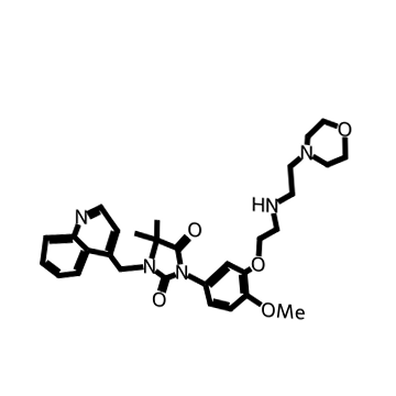 COc1ccc(N2C(=O)N(Cc3ccnc4ccccc34)C(C)(C)C2=O)cc1OCCNCCN1CCOCC1